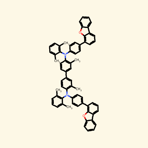 Cc1cc(-c2ccc(N(c3ccc(-c4cccc5c4oc4ccccc45)cc3)c3c(C)cccc3C)c(C)c2)ccc1N(c1ccc(-c2cccc3c2oc2ccccc23)cc1)c1c(C)cccc1C